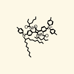 CCCCCCCCC(CCCCCCCC)CN(c1ccc(C)cc1)c1ccc(C2=C([O-])/C(=C3/C=CC(=[N+](c4ccc(C)cc4)c4ccc(C)cc4)C=C3NC(=O)C(CC)CCCC)C2=O)c(NC(=O)C(CC)CCCC)c1